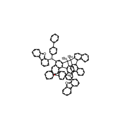 CC(C)(C)C1(C2(C(C)(C)C)c3ccc4ccccc4c3-c3c2cc(N(c2ccc(-c4ccccc4)cc2)c2cccc4c2oc2ccccc24)c2ccccc32)c2ccc3ccccc3c2-c2c1cc(N(c1ccc(-c3ccccc3)cc1)c1cccc3c1oc1ccccc13)c1ccccc21